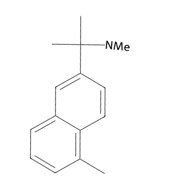 CNC(C)(C)c1ccc2c(C)cccc2c1